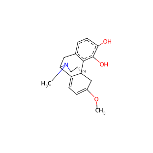 COC1=CC=C2C3Cc4ccc(O)c(O)c4[C@@]2(CCN3C)C1